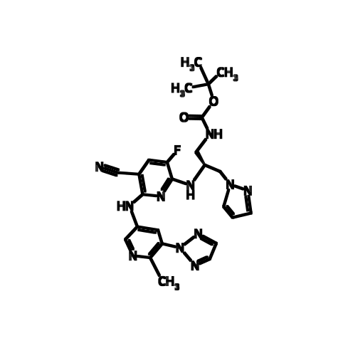 Cc1ncc(Nc2nc(N[C@@H](CNC(=O)OC(C)(C)C)Cn3cccn3)c(F)cc2C#N)cc1-n1nccn1